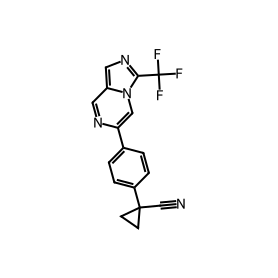 N#CC1(c2ccc(-c3cn4c(C(F)(F)F)ncc4cn3)cc2)CC1